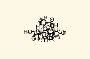 C[C@H]1C[C@H]2[C@@H]3CCC4=CC(=O)C=C[C@]4(C)[C@@]3(Cl)[C@@H](O)C[C@]2(C)[C@@]1(O)C(=O)CO.O=C(O)c1ccccc1